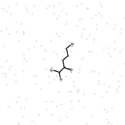 BrCCCC(Br)C(Br)Br